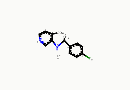 CC(Nc1cnccc1C(=O)[O-])c1ccc(F)cc1.[Li+]